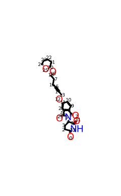 O=C1CCC(N2C(=O)c3ccc(OCC#CCCCOC4CCCCO4)cc3C2=O)C(=O)N1